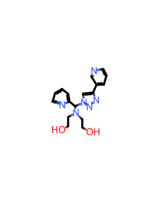 OCCN(CCO)C(c1ccccn1)n1cc(-c2cccnc2)nn1